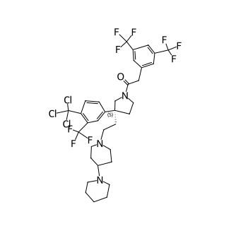 O=C(Cc1cc(C(F)(F)F)cc(C(F)(F)F)c1)N1CC[C@@](CCN2CCC(N3CCCCC3)CC2)(c2ccc(C(Cl)(Cl)Cl)c(C(F)(F)F)c2)C1